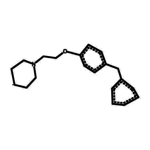 [CH]1CCN(CCOc2ccc(Cc3ccccc3)cc2)CC1